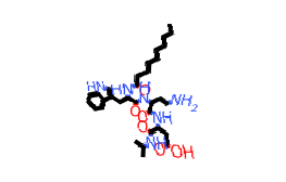 CCCCCCCCCC(=O)NC(Cc1c[nH]c2ccccc12)C(=O)NC(CCN)C(=O)NC(CC(=O)O)C(=O)NC(C)C